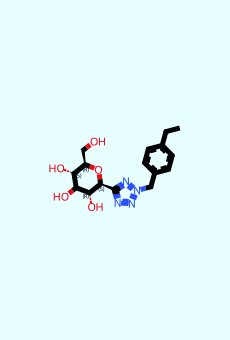 CCc1ccc(Cn2nnc([C@@H]3O[C@H](CO)[C@@H](O)C(O)[C@H]3O)n2)cc1